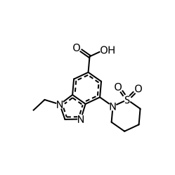 CCn1cnc2c(N3CCCCS3(=O)=O)cc(C(=O)O)cc21